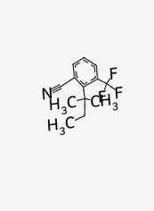 CCC(C)(C)c1c(C#N)cccc1C(F)(F)F